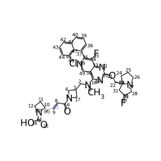 CN(CC1CN(C(=O)/C=C/[C@H]2CCN2C(=O)O)C1)c1nc(OC[C@@]23CCCN2C[C@H](F)C3)nc2c(F)c(-c3cccc4cccc(Cl)c34)ncc12